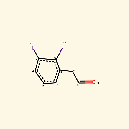 O=CCc1cccc(I)c1I